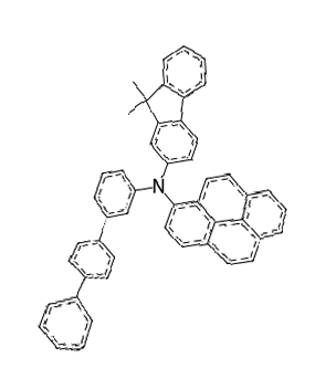 CC1(C)c2ccccc2-c2ccc(N(c3cccc(-c4ccc(-c5ccccc5)cc4)c3)c3ccc4ccc5cccc6ccc3c4c56)cc21